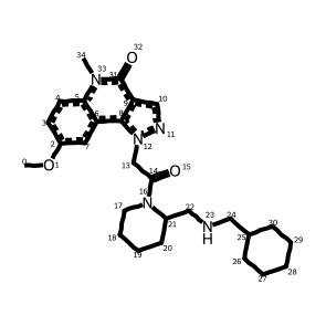 COc1ccc2c(c1)c1c(cnn1CC(=O)N1CCCCC1CNCC1CCCCC1)c(=O)n2C